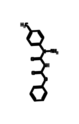 Cc1ccc(N(N)C(=O)NC(=O)Oc2ccccc2)cc1